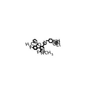 CCS(=O)(=O)NC1CCC(CN2CC(c3cc(-c4ccc(F)cc4C(=O)N4CCC[C@H]4C)c4c(F)nc(C)n4c3)C2)CC1